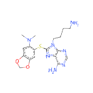 CN(C)c1cc2c(cc1Sc1nc3c(N)ncnc3n1CCCCN)OCO2